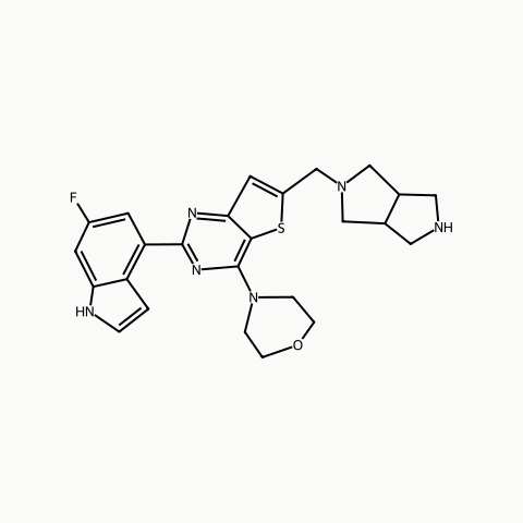 Fc1cc(-c2nc(N3CCOCC3)c3sc(CN4CC5CNCC5C4)cc3n2)c2cc[nH]c2c1